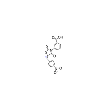 O=C(O)c1cccc(N2C(=O)/C(=C\c3ccc([N+](=O)[O-])cc3)SC2=S)c1